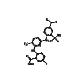 CCC(CC)c1ccc(Nc2ncc(C(F)(F)F)c(Nc3ccc(F)cc3C(=O)NC)n2)c(P(=O)(O)O)c1